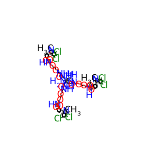 CN1Cc2c(Cl)cc(Cl)cc2[C@H](c2cccc(S(=O)(=O)NCCOCCOCCNC(=O)NCCC(N)(CCNC(=O)NCCOCCOCCNS(=O)(=O)c3cccc([C@@H]4CN(C)Cc5c(Cl)cc(Cl)cc54)c3)CCNC(=O)NCCOCCOCCNS(=O)(=O)c3cccc([C@@H]4CN(C)Cc5c(Cl)cc(Cl)cc54)c3)c2)C1